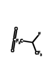 FC(C(F)(F)F)C(F)(F)F.O=C=O